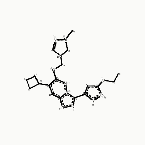 CCOc1cc(-c2nnc3cc(C4CCC4)c(OCN4C=NN(C)C4)nn23)no1